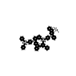 CC1(C)c2ccccc2-c2cc3c(cc21)c1ccccc1n3-c1ccc(-c2nc(-c3ccccc3)nc(-c3cc(CC4(C)c5ccccc5-c5cc6c(cc54)c4ccccc4n6-c4ccc(-c5nc(-c6ccccc6)nc(-c6ccccc6)n5)cc4)cc(-c4ccccc4)c3)n2)cc1